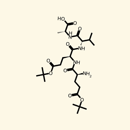 CC(C)[C@H](NC(=O)[C@H](CCC(=O)OC(C)(C)C)NC(=O)[C@@H](N)CCC(=O)OC(C)(C)C)C(=O)N[C@H](C)C(=O)O